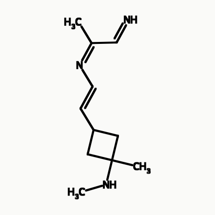 CNC1(C)CC(/C=C/N=C(/C)C=N)C1